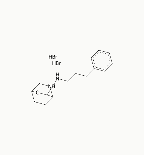 Br.Br.c1ccc(CCCNC2CC3CCC2NC3)cc1